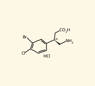 Cl.NC[C@H](CC(=O)O)c1ccc(Cl)c(Br)c1